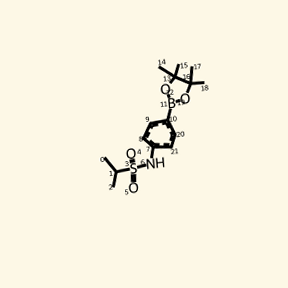 CC(C)S(=O)(=O)Nc1ccc(B2OC(C)(C)C(C)(C)O2)cc1